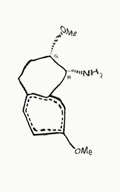 COc1ccc2c(c1)[C@@H](N)[C@@H](OC)CC2